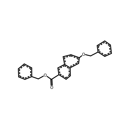 O=C(OCc1ccccc1)c1ccc2cc(OCc3ccccc3)ccc2c1